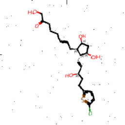 O=C(CO)CCCC=CC[C@@H]1[C@@H](C=C[C@H](O)CCc2ccc(Cl)s2)[C@H](O)C[C@@H]1O